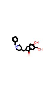 O=C1c2cc(CO)c(O)cc2CC1CC1CCN(Cc2ccccc2)CC1